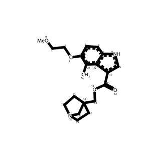 COCCOc1ccc2[nH]cc(C(=O)OCC34CCN(CC3)C4)c2c1C